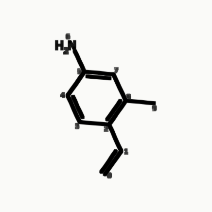 C=Cc1ccc(N)cc1C